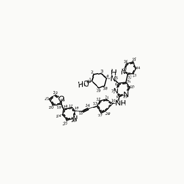 O[C@H]1CC[C@H](Nc2nc(Nc3ccc(C#Cc4cc(-c5ccco5)ccn4)cc3)ncc2-c2ccccn2)CC1